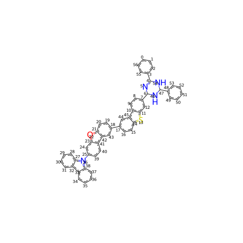 c1ccc(C2=NC(c3ccc4c(c3)sc3ccc(-c5ccc6oc7cc(-n8c9ccccc9c9ccccc98)ccc7c6c5)cc34)NC(c3ccccc3)N2)cc1